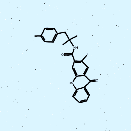 CC(C)(Cc1ccc(F)cc1)NC(=O)c1cc2[nH]c3ccccc3c(=O)c2cc1F